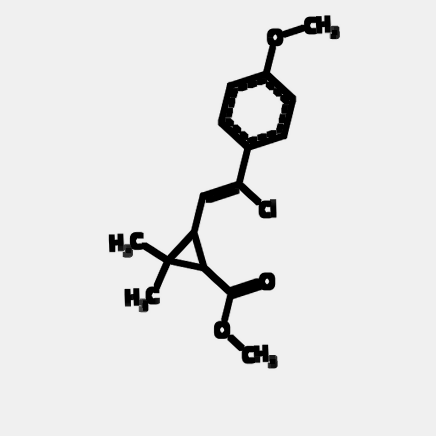 COC(=O)C1C(C=C(Cl)c2ccc(OC)cc2)C1(C)C